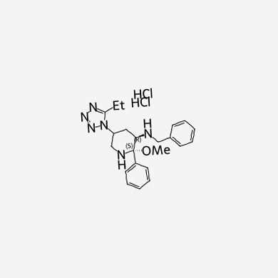 CCc1nnnn1C1CN[C@](OC)(c2ccccc2)[C@H](NCc2ccccc2)C1.Cl.Cl